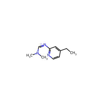 CCc1ccnc(/N=C\N(C)C)c1